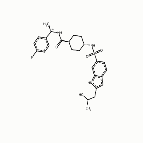 CC(O)Cc1cc2ccc(S(=O)(=O)N[C@H]3CC[C@H](C(=O)N[C@H](C)c4ccc(F)cc4)CC3)cc2[nH]1